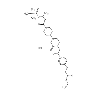 CCOC(=O)COc1ccc(C(=O)CN2CCN(C3CCN(C(=O)OC(C)OC(=O)C(C)(C)C)CC3)CC2=O)cc1.Cl